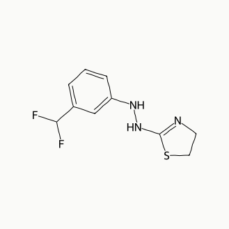 FC(F)c1cccc(NNC2=NCCS2)c1